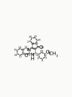 COc1cccc(C2NC(=O)N(Cc3ccccc3)C3=C2C(=O)c2ccccc23)c1